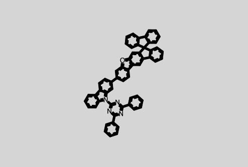 c1ccc(-c2nc(-c3ccccc3)nc(-n3c4ccccc4c4ccc(-c5ccc6c(c5)oc5cc7c(cc56)-c5ccccc5C75c6ccccc6-c6ccccc65)cc43)n2)cc1